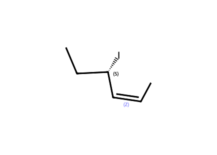 C/C=C\[C@@H](I)CC